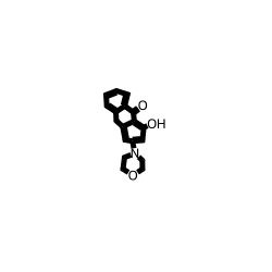 O=C1c2ccccc2Cc2cc(N3CCOCC3)cc(O)c21